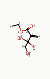 C=C(C(=O)OCC)C(Br)(Br)CBr